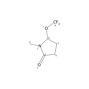 CN1C(=O)CCC1OC(F)(F)F